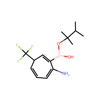 CC(C)C(C)(C)OB(O)C1=CC(C(F)(F)F)C=CC=C1N